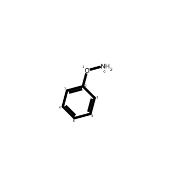 NOc1[c]cccc1